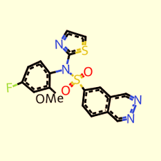 COc1cc(F)ccc1N(c1nccs1)S(=O)(=O)c1ccc2cnncc2c1